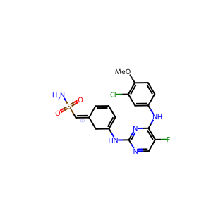 COc1ccc(Nc2nc(NC3=CC=C/C(=C\S(N)(=O)=O)C3)ncc2F)cc1Cl